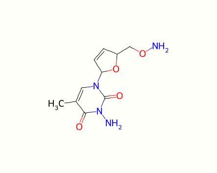 Cc1cn(C2C=CC(CON)O2)c(=O)n(N)c1=O